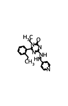 CCc1ccccc1-c1nc(NNc2ccncc2)nc(=O)n1CC